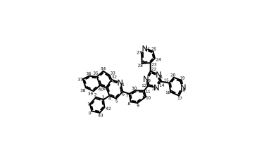 c1ccc(-c2cc(-c3cccc(-c4nc(-c5ccncc5)nc(-c5ccncc5)n4)c3)nc3ccc4ccccc4c23)cc1